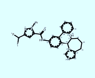 CC(C)n1nc(C(F)F)cc1C(=O)Nc1ccc([C@H]2[C@@H](O)CCCc3cncn32)c(-c2ccccc2)c1